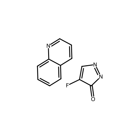 O=C1N=NC=C1F.c1ccc2ncccc2c1